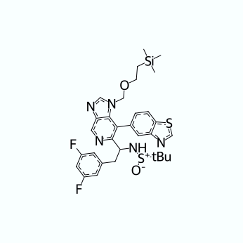 CC(C)(C)[S+]([O-])NC(Cc1cc(F)cc(F)c1)c1ncc2ncn(COCC[Si](C)(C)C)c2c1-c1ccc2scnc2c1